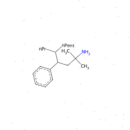 CCCCCC(CCC)C(CC(C)(C)N)c1ccccc1